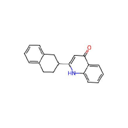 O=c1cc(C2CCc3ccccc3C2)[nH]c2ccccc12